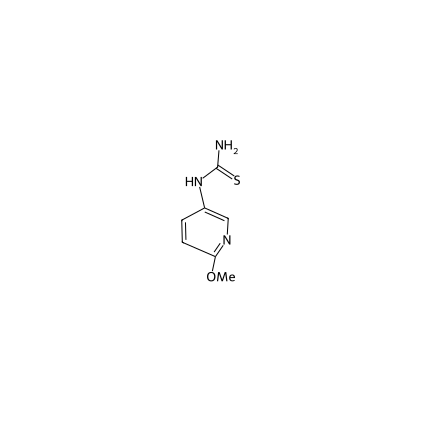 COc1ccc(NC(N)=S)cn1